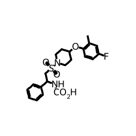 Cc1cc(F)ccc1OC1CCN(S(=O)(=O)CC(NC(=O)O)c2ccccc2)CC1